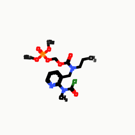 CN(C(=O)Cl)c1ncccc1CN(CCC(F)(F)F)C(=O)OCOP(=O)(OC(C)(C)C)OC(C)(C)C